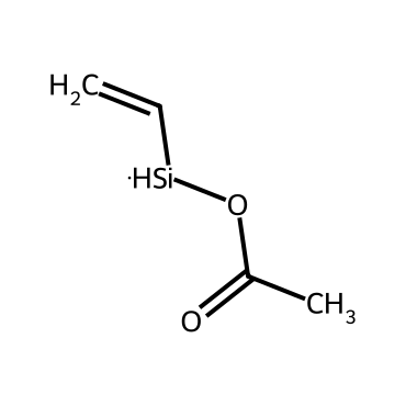 C=C[SiH]OC(C)=O